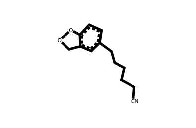 N#CCCCCCc1ccc2c(c1)COO2